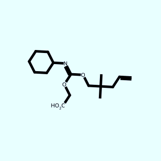 C=CCC(C)(C)COC(=NC1CCCCC1)OCC(=O)O